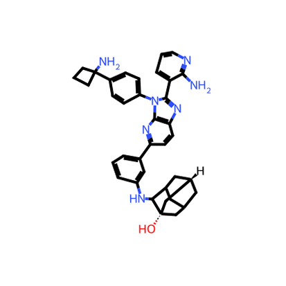 Nc1ncccc1-c1nc2ccc(-c3cccc(NC4C5CC6C[C@@H](C5)C[C@@]4(O)C6)c3)nc2n1-c1ccc(C2(N)CCC2)cc1